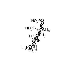 Cc1cc(N=Nc2cc(C)c(N=Nc3ccc4cc(Nc5ccc(N)c(S(=O)(=O)O)c5)ccc4c3O)cc2C)c(OCCCS(=O)(=O)O)cc1N=Nc1ccc2cccc(S(=O)(=O)O)c2c1